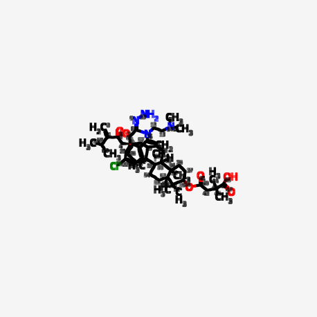 C=C(C(=O)C[C@]1([C@H](O)/C(=N/N)N(CCN(C)C)C(=C)c2ccc(Cl)cc2)CC[C@]2(C)C(CC[C@@H]3C4(C)CCC(OC(=O)CC(C)(C)C(=O)O)C(C)(C)[C@@H]4CC[C@]32C)C1)C(C)C